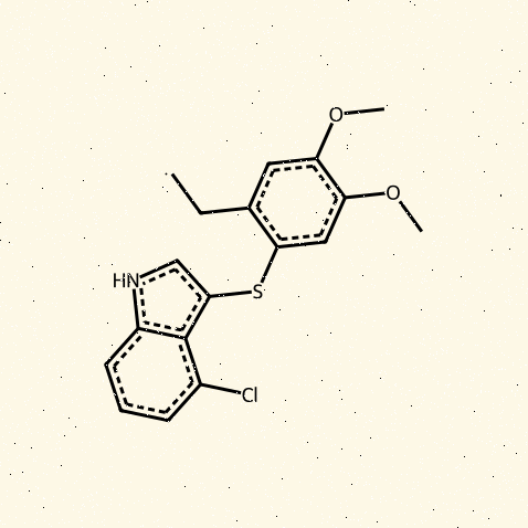 [CH2]Cc1cc(OC)c(OC)cc1Sc1c[nH]c2cccc(Cl)c12